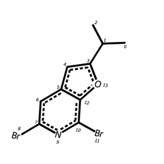 CC(C)c1cc2cc(Br)nc(Br)c2o1